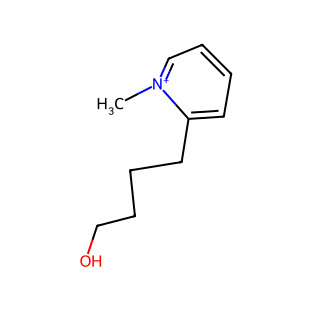 C[n+]1ccccc1CCCCO